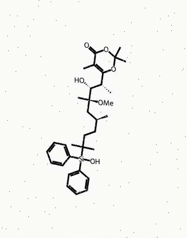 CO[C@](C)(C[C@@H](C)CCC(C)(C)[Si](O)(c1ccccc1)c1ccccc1)[C@H](O)[C@@H](C)C1=C(C)C(=O)OC(C)(C)O1